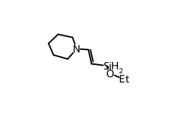 CCO[SiH2]C=CN1CCCCC1